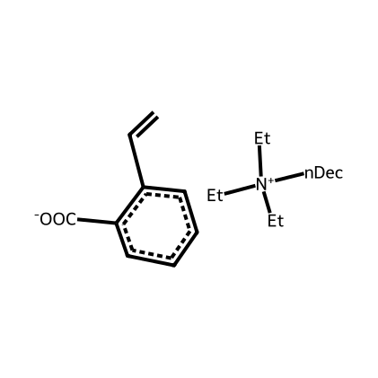 C=Cc1ccccc1C(=O)[O-].CCCCCCCCCC[N+](CC)(CC)CC